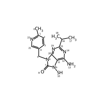 Cc1ccc(Cn2c(=O)n(S)c3c(N)nc(C(C)C)nc32)cn1